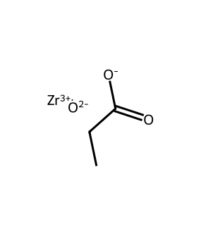 CCC(=O)[O-].[O-2].[Zr+3]